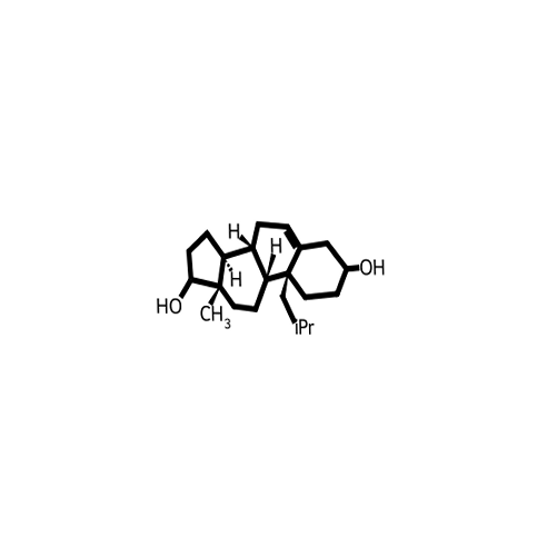 CC(C)C[C@]12CCC(O)CC1=CC[C@@H]1[C@H]2CC[C@]2(C)C(O)CC[C@@H]12